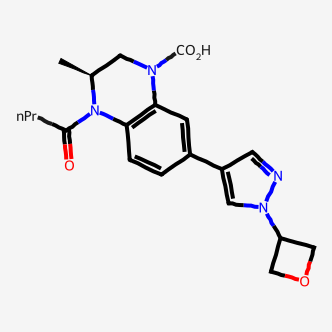 CCCC(=O)N1c2ccc(-c3cnn(C4COC4)c3)cc2N(C(=O)O)C[C@@H]1C